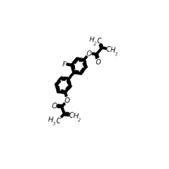 C=C(C)C(=O)Oc1cccc(-c2ccc(OC(=O)C(=C)C)cc2F)c1